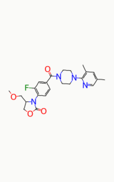 COCC1COC(=O)N1c1ccc(C(=O)N2CCN(c3ncc(C)cc3C)CC2)cc1F